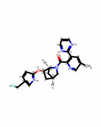 Cc1cnc(C(=O)N2C[C@H]3C[C@@H](Oc4ccc(CF)cn4)[C@@H]2C3)c(-c2ncccn2)c1